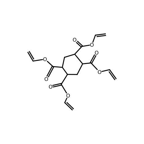 C=COC(=O)C1CC(C(=O)OC=C)C(C(=O)OC=C)CC1C(=O)OC=C